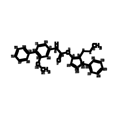 CCCc1c(OC(=O)Nc2ccc(-c3ccccc3)c(OC)c2)cnn1-c1ccccc1